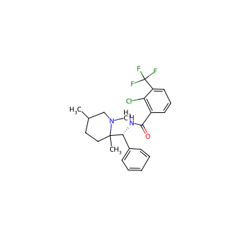 CC1CCC(C)([C@H](NC(=O)c2cccc(C(F)(F)F)c2Cl)c2ccccc2)N(C)C1